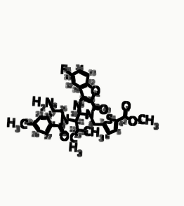 COC(=O)c1ccc(Cn2c(C(C(C)C)N(CCN)C(=O)c3ccc(C)cc3)nc3c(oc4ccc(F)cc43)c2=O)s1